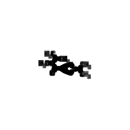 CC(C)N1CC2C(C1)C2C(=O)N(C)C(C)C